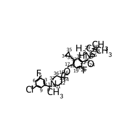 CC(c1cc(F)cc(Cl)c1)N1CCC(F)(COCc2cc(F)c(C(=O)NSC(C)(C)C)cc2C2CC2)CC1